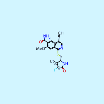 C#Cc1cnc(SCC2NC(=O)[C@@H](F)[C@H]2CC)c2cc(OC)c(C(N)=O)cc12